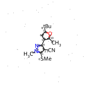 CSc1c(C#N)c(-c2cc(C(C)(C)C)oc2C)nn1C